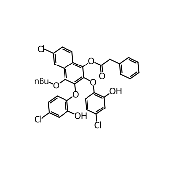 CCCCOc1c(Oc2ccc(Cl)cc2O)c(Oc2ccc(Cl)cc2O)c(OC(=O)Cc2ccccc2)c2ccc(Cl)cc12